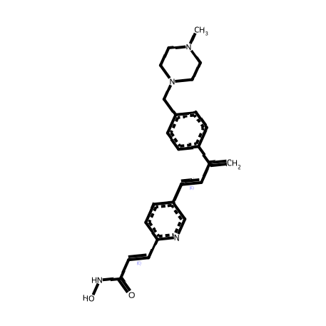 C=C(/C=C/c1ccc(/C=C/C(=O)NO)nc1)c1ccc(CN2CCN(C)CC2)cc1